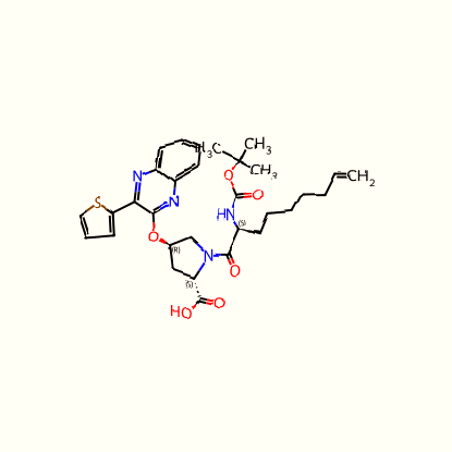 C=CCCCCC[C@H](NC(=O)OC(C)(C)C)C(=O)N1C[C@H](Oc2nc3ccccc3nc2-c2cccs2)C[C@H]1C(=O)O